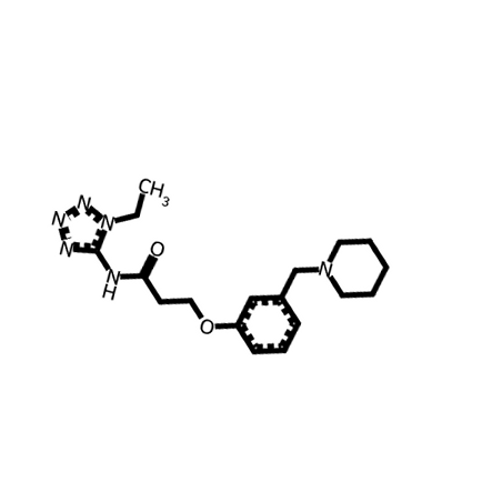 CCn1nnnc1NC(=O)CCOc1cccc(CN2CCCCC2)c1